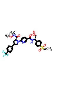 CCS(=O)(=O)c1ccc([C@H](CO)NC(=O)c2ccc(N3CC(c4ccc(C(F)(F)F)cc4)C[C@H]3C(=O)N(C)OC)nc2)cc1